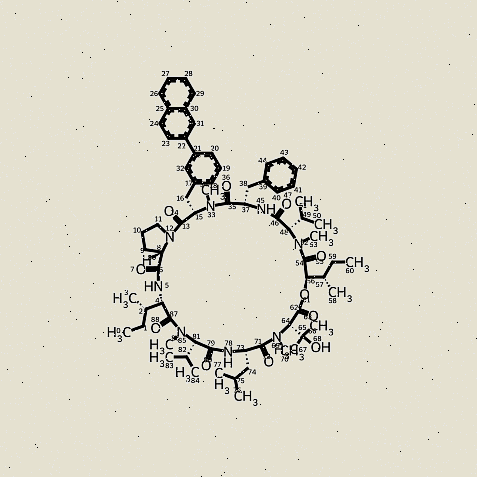 CC[C@H](C)[C@@H]1NC(=O)[C@@H]2CCCN2C(=O)[C@H](Cc2cccc(-c3ccc4ccccc4c3)c2)N(C)C(=O)[C@H](Cc2ccccc2)NC(=O)[C@H](C(C)C)N(C)C(=O)[C@@H]([C@@H](C)CC)OC(=O)[C@H](C(C)(C)O)N(C)C(=O)[C@H](CC(C)C)NC(=O)[C@H](C(C)C)N(C)C1=O